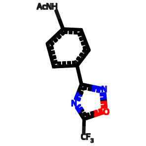 CC(=O)Nc1ccc(-c2noc(C(F)(F)F)n2)cc1